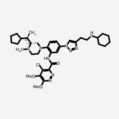 COc1nnc(C(=O)Nc2cc(-n3cc(CCNC4CCCCC4)nn3)ccc2N2CCN(C)[C@H]([C@H](C)C3CCCC3)C2)c(Cl)c1OC